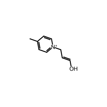 Cc1cc[n+](CC=CO)cc1